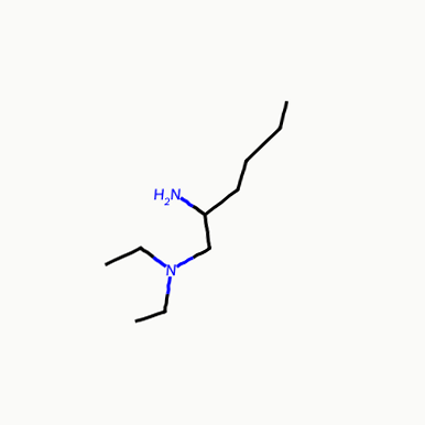 CCCCC(N)CN(CC)CC